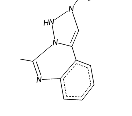 CC1=Nc2ccccc2C2=CN(N)NN21